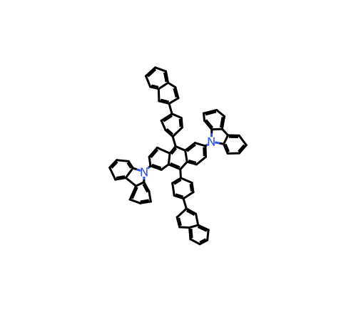 c1ccc2cc(-c3ccc(-c4c5ccc(-n6c7ccccc7c7ccccc76)cc5c(-c5ccc(-c6ccc7ccccc7c6)cc5)c5ccc(-n6c7ccccc7c7ccccc76)cc45)cc3)ccc2c1